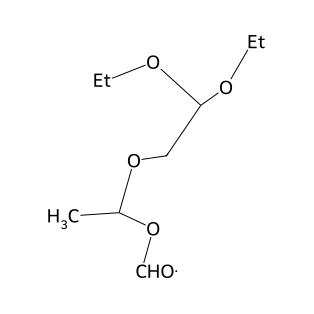 CCOC(COC(C)O[C]=O)OCC